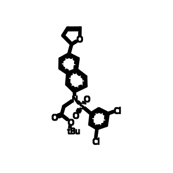 CC(C)(C)OC(=O)CN(c1ccc2cc(C3CC=CO3)ccc2c1)S(=O)(=O)c1cc(Cl)cc(Cl)c1